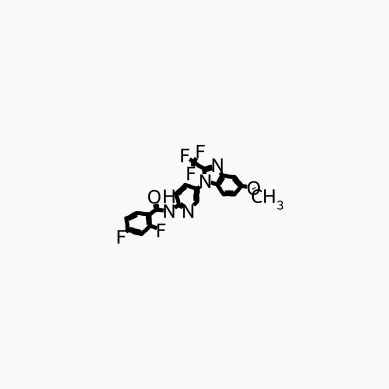 COc1ccc2c(c1)nc(C(F)(F)F)n2-c1ccc(NC(=O)c2ccc(F)cc2F)nc1